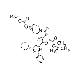 CCOC(=O)ON1CCN(C(=O)[C@H](CCC(=O)OC(C)(C)C)NC(=O)c2cc(N3CCCCC3)nc(-c3ccccc3)n2)CC1